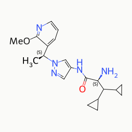 COc1ncccc1[C@H](C)n1cc(NC(=O)[C@@H](N)C(C2CC2)C2CC2)cn1